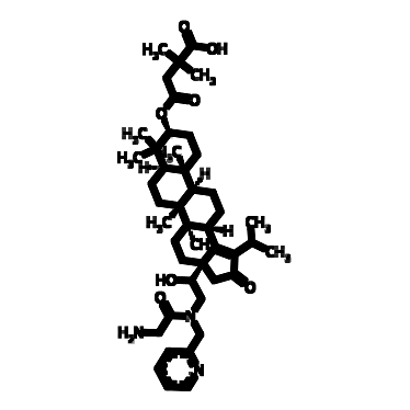 CC(C)C1=C2[C@H]3CC[C@@H]4[C@@]5(C)CC[C@H](OC(=O)CC(C)(C)C(=O)O)C(C)(C)[C@@H]5CC[C@@]4(C)[C@]3(C)CC[C@@]2(C(O)CN(Cc2ccccn2)C(=O)CN)CC1=O